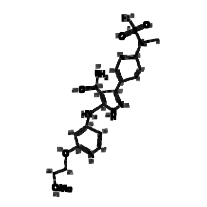 CCS(=O)(=O)N(C)c1ccc(-c2n[nH]c(Nc3ccnc(OCCOC)c3)c2C(N)=O)cc1